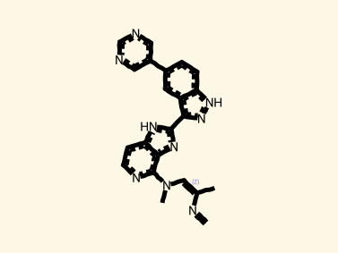 C=N/C(C)=C\N(C)c1nccc2[nH]c(-c3n[nH]c4ccc(-c5cncnc5)cc34)nc12